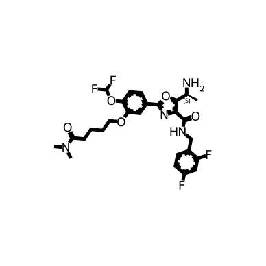 C[C@H](N)c1oc(-c2ccc(OC(F)F)c(OCCCCC(=O)N(C)C)c2)nc1C(=O)NCc1ccc(F)cc1F